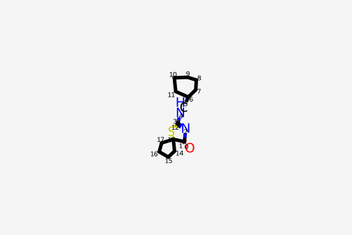 O=C1N=C(NCC2CCCCC2)SC12CCCC2